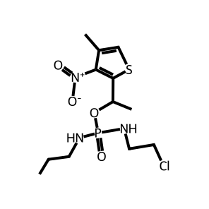 CCCNP(=O)(NCCCl)OC(C)c1scc(C)c1[N+](=O)[O-]